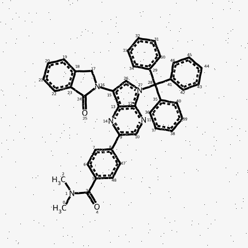 CN(C)C(=O)c1ccc(-c2cnc3c(n2)c(N2Cc4ccccc4C2=O)cn3C(c2ccccc2)(c2ccccc2)c2ccccc2)cc1